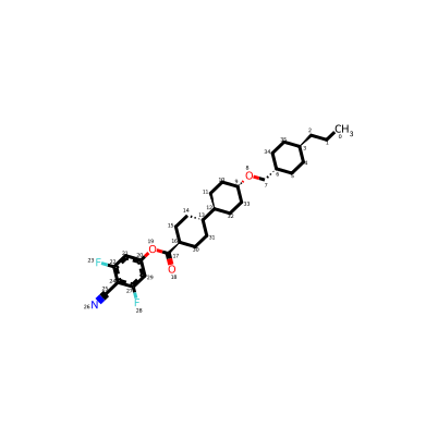 CCC[C@H]1CC[C@H](CO[C@H]2CC[C@H]([C@H]3CC[C@H](C(=O)Oc4cc(F)c(C#N)c(F)c4)CC3)CC2)CC1